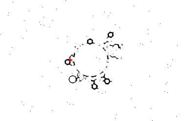 CC(=O)N[C@@H](Cc1c[nH]cn1)C(=O)N(C)[C@@H](Cc1ccc(F)cc1)C(=O)N[C@H]1CSCc2cccc(c2)CSC[C@@H](C(N)=O)NC(=O)[C@@H]2CCCN2C(=O)[C@H](Cc2ccc(O)cc2)NC(=O)[C@H](CC2NCNC23CCCCCCC3)NC(=O)[C@H](CC(=O)O)NC(=O)[C@H](Cc2c[nH]c3ccc(F)cc23)NC(=O)[C@H](Cc2c[nH]c3ccc(F)cc23)NC(=O)CNC(=O)[C@H](CCCCN)NC1=O